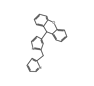 c1ccc(Cc2cc(C3c4ccccc4Oc4ccccc43)ccn2)nc1